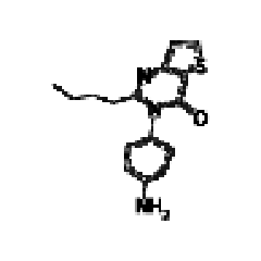 CCCCc1nc2ccsc2c(=O)n1-c1ccc(N)cc1